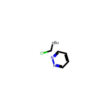 CCCCCCl.c1ccnnc1